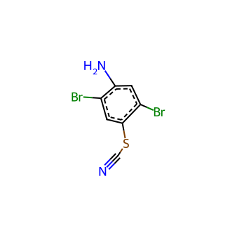 N#CSc1cc(Br)c(N)cc1Br